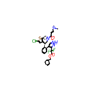 CN(C)C/C=C/C(=O)N1Cc2sc(Cl)cc2[C@H](c2ccccc2-c2c[nH]nc2C(F)(F)C(=O)OCc2ccccc2)C1